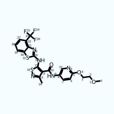 COCCOc1ccc(NC(=O)c2c(C)nsc2Nc2nc3c(C(F)(F)F)cccc3s2)cn1